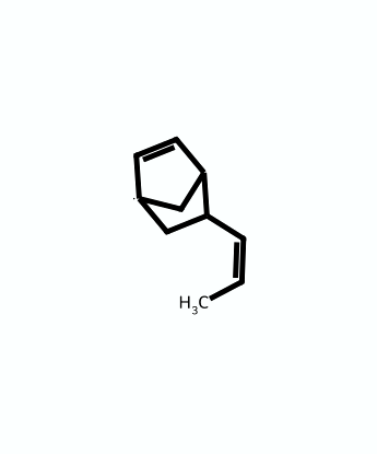 C/C=C\C1C[C]2C=CC1C2